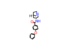 O=C(N[C@@H]1C[C@H]2CCN(C2)C1)c1ccc(Oc2ccccc2)cc1